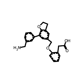 NCc1cccc(-c2cc(COc3ccccc3CC(=O)O)cc3c2OCC3)c1